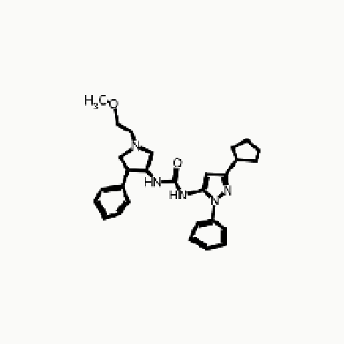 COCCN1CC(NC(=O)Nc2cc(C3CCCC3)nn2-c2ccccc2)C(c2ccccc2)C1